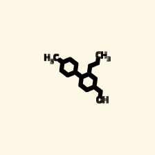 CCCC1CC(CO)CCC1C1CCC(C)CC1